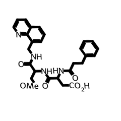 COCC(NC(=O)C(CC(=O)O)NC(=O)CCc1ccccc1)C(=O)NCc1cccc2cccnc12